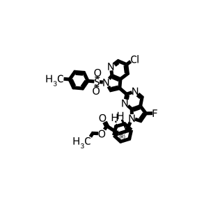 CCOC(=O)[C@@H]1C2CCC(CC2)[C@H]1n1cc(F)c2cnc(-c3cn(S(=O)(=O)c4ccc(C)cc4)c4ncc(Cl)cc34)nc21